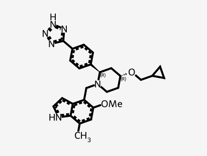 COc1cc(C)c2[nH]ccc2c1CN1CC[C@@H](OCC2CC2)C[C@@H]1c1ccc(-c2nn[nH]n2)cc1